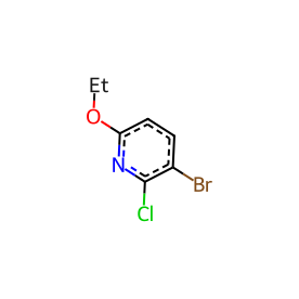 CCOc1ccc(Br)c(Cl)n1